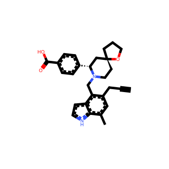 C#CCc1cc(C)c2[nH]ccc2c1CN1CC[C@]2(CCCO2)C[C@H]1c1ccc(C(=O)O)cc1